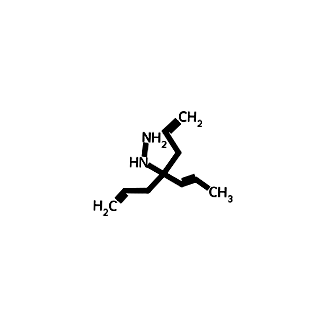 C=CCC(C=CC)(CC=C)NN